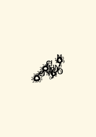 Cc1cc(C(=O)NCc2ccncc2)nn1Cc1cc(Cl)ccc1OCc1ccccc1